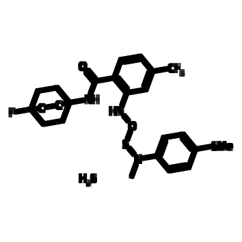 CSc1ccc(N(C)SONc2cc(C(F)(F)F)ccc2C(=O)NC23CCC(F)(CC2)CC3)cc1.S